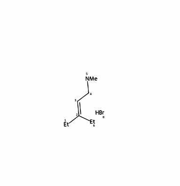 Br.CCC(=CCNC)CC